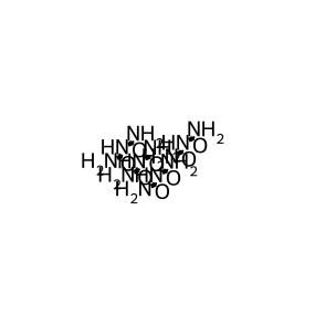 NC(=O)NC(N)=O.NC(=O)NC(N)=O.NC(=O)NC(N)=O.NC(=O)NC(N)=O